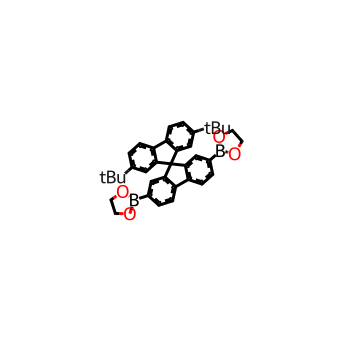 CC(C)(C)c1ccc2c(c1)C1(c3cc(B4OCCO4)ccc3-c3ccc(B4OCCO4)cc31)c1cc(C(C)(C)C)ccc1-2